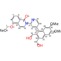 COCOc1cccc2c(=O)n(-c3cc(-c4c(CO)c(CO)cc5cc(OC)c(OC)cc45)ccn3)ccc12